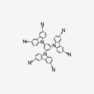 N#Cc1ccc2c(c1)c1cc(C#N)ccc1n2-c1cc(-n2c3ccc(C#N)cc3c3cc(C#N)ccc32)cc(-n2c3ccc(C#N)cc3c3cc(C#N)ccc32)c1